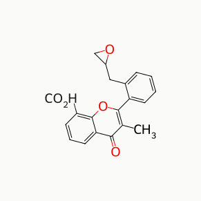 Cc1c(-c2ccccc2CC2CO2)oc2c(C(=O)O)cccc2c1=O